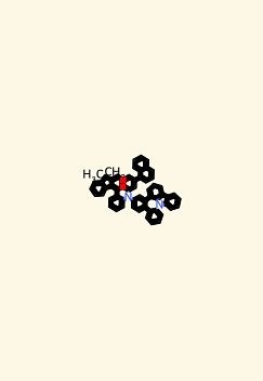 CC1(C)c2ccccc2-c2c(-c3ccccc3N(c3cccc(-c4cccc5ccccc45)c3)c3ccc4c(c3)C3=CCCc5c3n(c3ccccc53)-c3ccccc3-4)cccc21